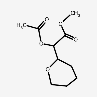 COC(=O)C(OC(C)=O)C1CCCCO1